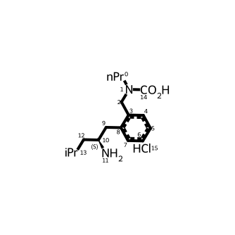 CCCN(Cc1ccccc1C[C@@H](N)CC(C)C)C(=O)O.Cl